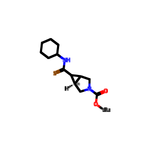 CC(C)(C)OC(=O)N1CC2C(C(=S)NC3CCCCC3)[C@@H]2C1